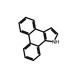 c1ccc2c(c1)c1ccccc1c1[nH]ccc21